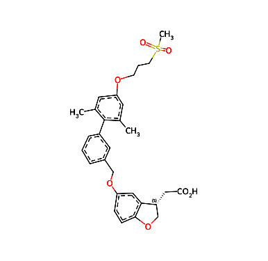 Cc1cc(OCCCS(C)(=O)=O)cc(C)c1-c1cccc(COc2ccc3c(c2)[C@H](CC(=O)O)CO3)c1